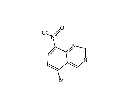 O=[N+]([O-])c1ccc(Br)c2cncnc12